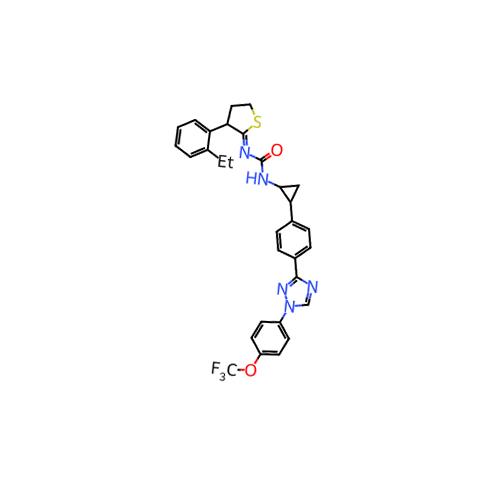 CCc1ccccc1C1CCS/C1=N\C(=O)NC1CC1c1ccc(-c2ncn(-c3ccc(OC(F)(F)F)cc3)n2)cc1